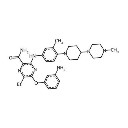 CCc1nc(C(N)=O)c(Nc2ccc(N3CCC(N4CCN(C)CC4)CC3)c(C)c2)nc1Oc1cccc(N)c1